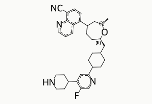 C[C@@H]1CC(c2ccc(C#N)c3ncccc23)CC[C@H](CC2CCC(c3cc(C4CCNCC4)c(F)cn3)CC2)O1